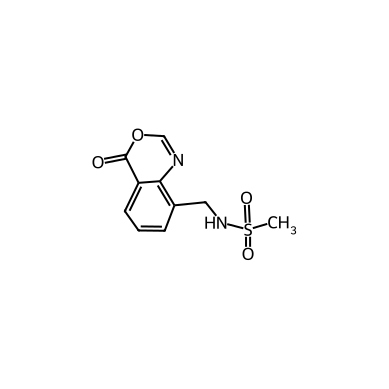 CS(=O)(=O)NCc1cccc2c(=O)ocnc12